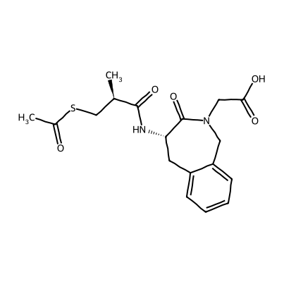 CC(=O)SC[C@@H](C)C(=O)N[C@H]1Cc2ccccc2CN(CC(=O)O)C1=O